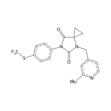 CC(C)(C)c1cc(CN2C(=O)N(c3ccc(SC(F)(F)F)cc3)C(=O)C23CC3)ccn1